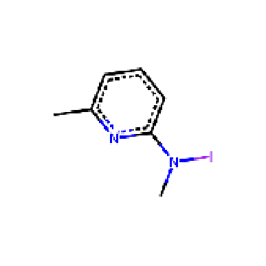 Cc1cccc(N(C)I)n1